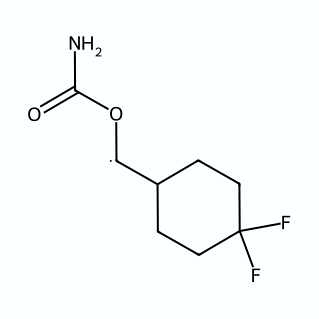 NC(=O)O[CH]C1CCC(F)(F)CC1